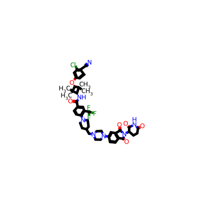 CC1(C)[C@H](NC(=O)c2ccc(N3CCC(CN4CCN(c5ccc6c(c5)C(=O)N(C5CCC(=O)NC5=O)C6=O)CC4)CC3)c(C(F)(F)F)c2)C(C)(C)[C@H]1Oc1ccc(C#N)c(Cl)c1